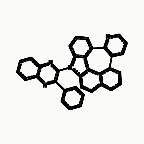 c1ccc(-c2nc3ccccc3nc2-n2c3cccc4c3c3c5c(cccc5ccc32)-c2cccnc2-4)cc1